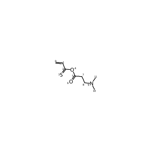 C=CC(=S)OC(=O)CCN(C)C